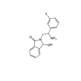 NC(CN1C(=O)c2ccccc2C1O)c1cccc(F)c1